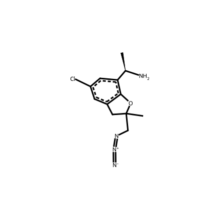 C[C@@H](N)c1cc(Cl)cc2c1OC(C)(CN=[N+]=[N-])C2